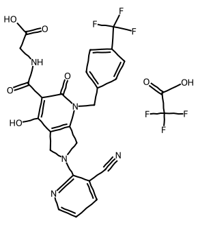 N#Cc1cccnc1N1Cc2c(O)c(C(=O)NCC(=O)O)c(=O)n(Cc3ccc(C(F)(F)F)cc3)c2C1.O=C(O)C(F)(F)F